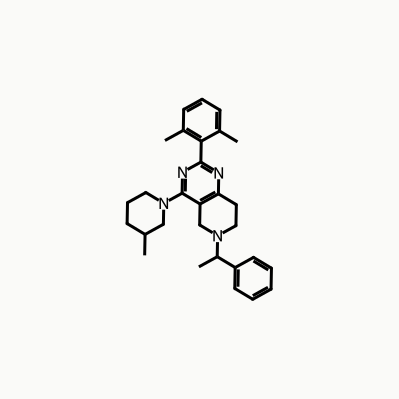 Cc1cccc(C)c1-c1nc2c(c(N3CCCC(C)C3)n1)CN(C(C)c1ccccc1)CC2